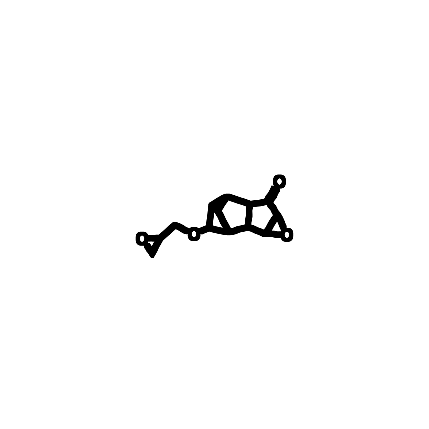 O=C1C2OC2C2C3CC(CC3OCC3CO3)C12